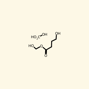 O=C(CCCO)OCO.O=C(O)O